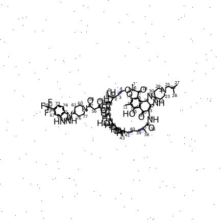 CC[C@H]1/C=C/O[C@@]2(C)Oc3c(C)c(O)c4c(c3C2=O)C2=NC3(CCN(CC(C)C)CC3)NC2=C(NC(=O)/C(C)=C\C=C\[C@H](C)[C@H](O)[C@@H](C)[C@@H](O)[C@@H](C)[C@H](OC(=O)CC(=O)N2CCC(N3NNc5cc(C(F)(F)F)ccc53)CC2)[C@@H]1C)C4=O